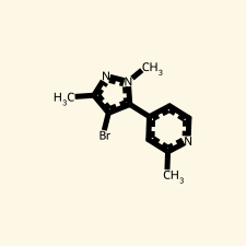 Cc1cc(-c2c(Br)c(C)nn2C)ccn1